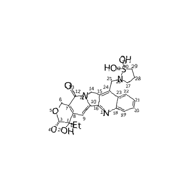 CC[C@@]1(O)C(=O)OCc2c1cc1n(c2=O)Cc2c-1nc1ccccc1c2CN1CCCS1(O)O